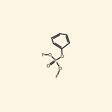 O=P(OF)(OF)Oc1ccccc1